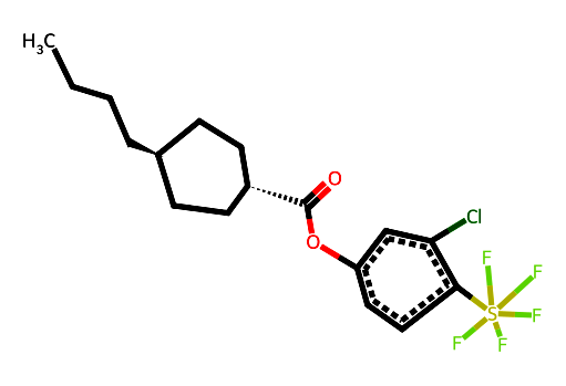 CCCC[C@H]1CC[C@H](C(=O)Oc2ccc(S(F)(F)(F)(F)F)c(Cl)c2)CC1